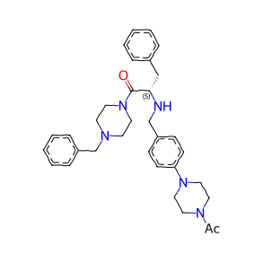 CC(=O)N1CCN(c2ccc(CN[C@@H](Cc3ccccc3)C(=O)N3CCN(Cc4ccccc4)CC3)cc2)CC1